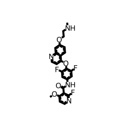 CNCCOc1ccc2c(Oc3c(F)cc(NC(=O)c4c(OC)ccnc4F)cc3F)ccnc2c1